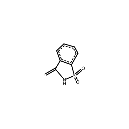 [C]=C1NS(=O)(=O)c2ccccc21